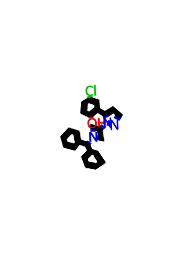 Oc1ccc(Cl)cc1-c1ccnn1C1CN(C(c2ccccc2)c2ccccc2)C1